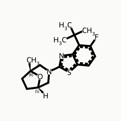 CC(C)(C)c1c(F)ccc2sc(N3C[C@@H]4CC[C@](C)(C3)O4)nc12